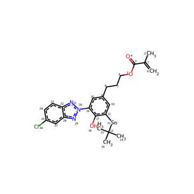 C=C(C)C(=O)OCCCc1c[c]([Sn][C](C)(C)C)c(O)c(-n2nc3ccc(Cl)cc3n2)c1